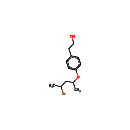 CC(Br)CC(C)Oc1ccc(CCO)cc1